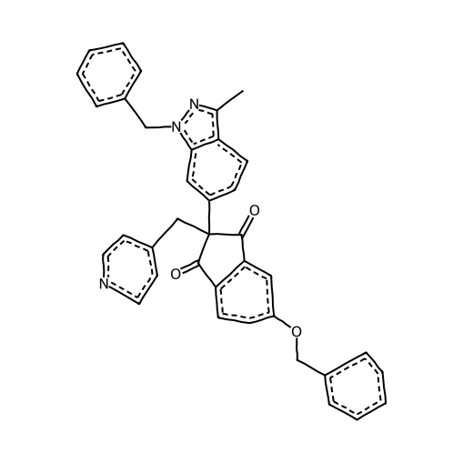 Cc1nn(Cc2ccccc2)c2cc(C3(Cc4ccncc4)C(=O)c4ccc(OCc5ccccc5)cc4C3=O)ccc12